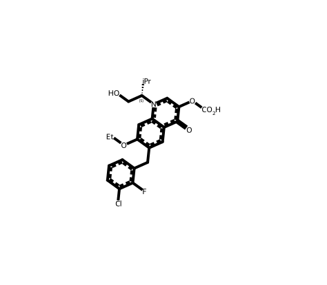 CCOc1cc2c(cc1Cc1cccc(Cl)c1F)c(=O)c(OC(=O)O)cn2[C@H](CO)C(C)C